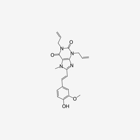 C=CCn1c(=O)c2c(nc(C=Cc3ccc(O)c(OC)c3)n2C)n(CC=C)c1=O